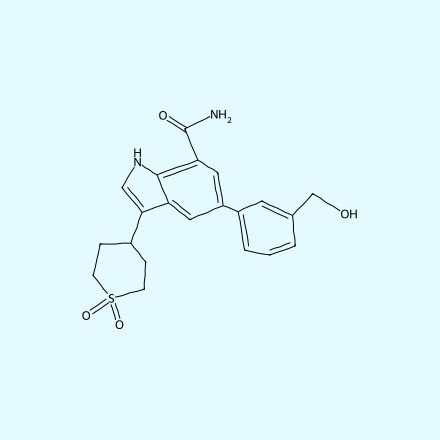 NC(=O)c1cc(-c2cccc(CO)c2)cc2c(C3CCS(=O)(=O)CC3)c[nH]c12